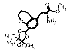 COC(=O)[C@@H](N)Cc1ccc(C2OC(C)(C)C(C)(C)O2)c2c1CCCO2